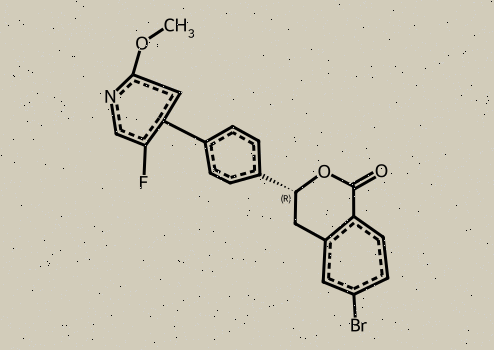 COc1cc(-c2ccc([C@H]3Cc4cc(Br)ccc4C(=O)O3)cc2)c(F)cn1